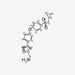 NCc1nc(-c2ccc(Oc3ccc(S(=O)(=O)CC4CC4)cc3)cc2)no1